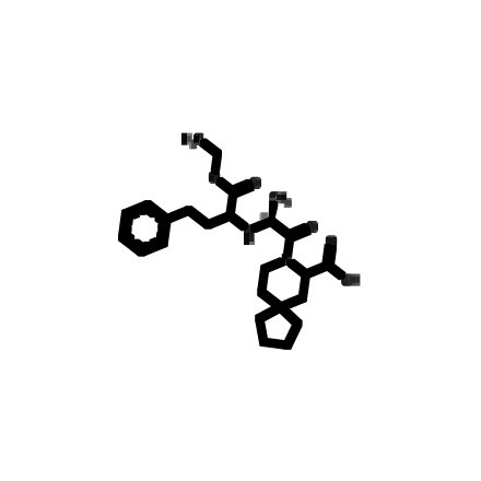 CCOC(=O)C(CCc1ccccc1)N[C@@H](C)C(=O)N1CCC2(CCCC2)CC1C(=O)O